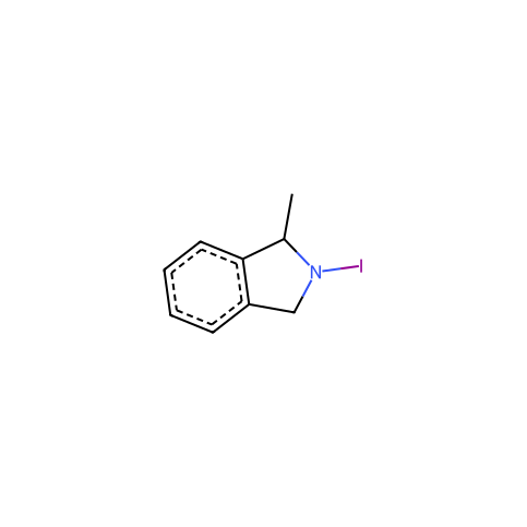 CC1c2ccccc2CN1I